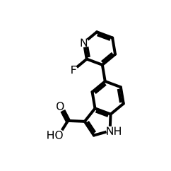 O=C(O)c1c[nH]c2ccc(-c3cccnc3F)cc12